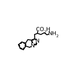 NCCCC(Cc1ncn2c1Cc1ccccc1C2)C(=O)O